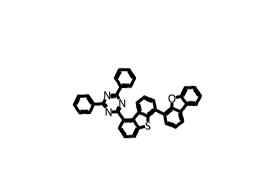 c1ccc(-c2nc(-c3ccccc3)nc(-c3cccc4sc5c(-c6cccc7c6oc6ccccc67)cccc5c34)n2)cc1